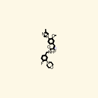 COc1cc(/C=C(/F)C(=O)NCc2ccc(F)c(N3CCOCC3)c2)ccc1-n1cnc(C)c1